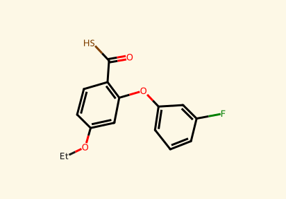 CCOc1ccc(C(=O)S)c(Oc2cccc(F)c2)c1